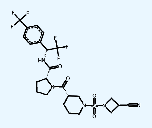 N#CC1CN(S(=O)(=O)N2CCC[C@H](C(=O)N3CCC[C@@H]3C(=O)N[C@H](c3ccc(C(F)(F)F)cc3)C(F)(F)F)C2)C1